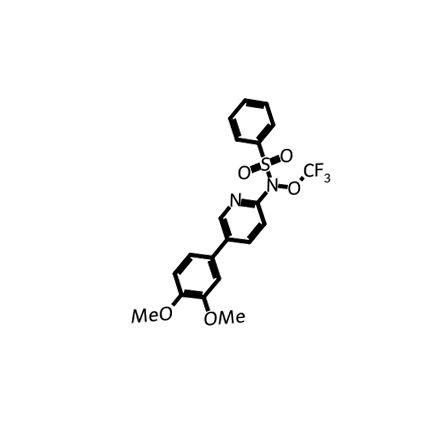 COc1ccc(-c2ccc(N(OC(F)(F)F)S(=O)(=O)c3ccccc3)nc2)cc1OC